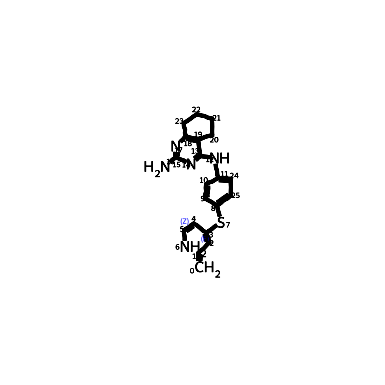 C=C/C=C(\C=C/N)Sc1ccc(Nc2nc(N)nc3c2CCCC3)cc1